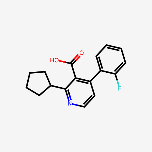 O=C(O)c1c(-c2ccccc2F)ccnc1C1CCCC1